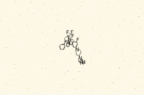 O=S1(=O)[C@@H](c2ccccc2)CC[C@H](C(F)(F)F)N1Cc1ccc(N2CCC(n3cnnc3)CC2)cc1F